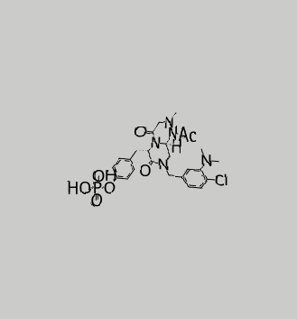 CC(=O)N1[C@H]2CN(Cc3ccc(Cl)c(N(C)C)c3)C(=O)[C@H](Cc3ccc(OP(=O)(O)O)cc3)N2C(=O)CN1C